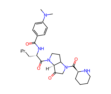 CC(C)C[C@H](NC(=O)c1ccc(N(C)C)cc1)C(=O)N1CCC2[C@H]1C(=O)CN2C(=O)[C@@H]1CCCCN1